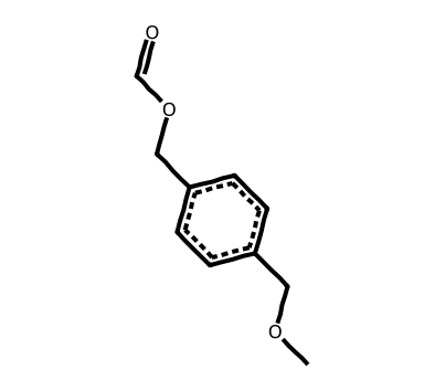 COCc1ccc(COC=O)cc1